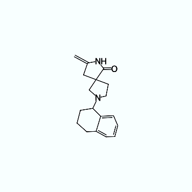 C=C1CC2(CCN(C3CCCc4ccccc43)C2)C(=O)N1